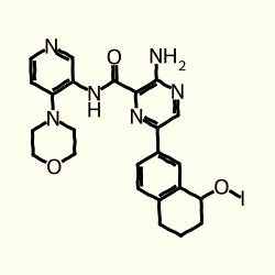 Nc1ncc(-c2ccc3c(c2)C(OI)CCC3)nc1C(=O)Nc1cnccc1N1CCOCC1